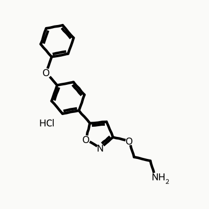 Cl.NCCOc1cc(-c2ccc(Oc3ccccc3)cc2)on1